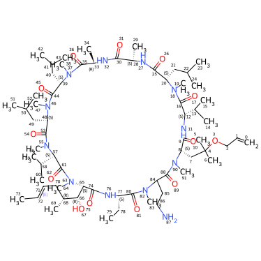 C=CCOC(C)(C)C[C@H]1C(=O)N[C@@H](C(C)C)C(=O)N(C)[C@@H](CC(C)C)C(=O)N[C@@H](C)C(=O)N[C@H](C)C(=O)N(C)[C@@H](CC(C)C)C(=O)N(C)[C@@H](CC(C)C)C(=O)N(C)[C@@H](C(C)C)C(=O)N(C)[C@@H]([C@H](O)[C@H](C)C/C=C/C)C(=O)N[C@@H](CC)C(=O)N(C)C(CCN)C(=O)N1C